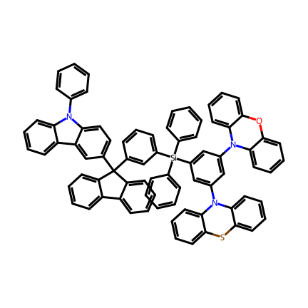 c1ccc(-n2c3ccccc3c3cc(C4(c5cccc([Si](c6ccccc6)(c6ccccc6)c6cc(N7c8ccccc8Oc8ccccc87)cc(N7c8ccccc8Sc8ccccc87)c6)c5)c5ccccc5-c5ccccc54)ccc32)cc1